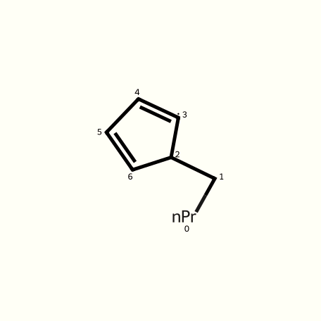 CCCCC1[C]=CC=C1